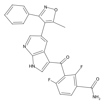 Cc1onc(-c2ccccc2)c1-c1cnc2[nH]cc(C(=O)c3c(F)ccc(C(N)=O)c3F)c2c1